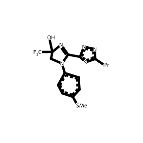 CSc1ccc(N2CC(O)(C(F)(F)F)N=C2c2nnc(C(C)C)s2)cc1